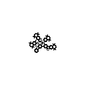 Cc1cc2c(cc1N1c3c(sc4cc5c(cc34)C(C)(C)CCC5(C)C)B3c4c(cc5c(sc6ccccc65)c41)-c1cc4oc5cc6c(cc5c4cc1N3c1ccc3c(c1)C(C)(C)CCC3(C)C)C(C)(C)CCC6(C)C)C(C)(C)CCC2(C)C